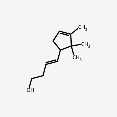 CC1=CCC(/C=C/CCO)C1(C)C